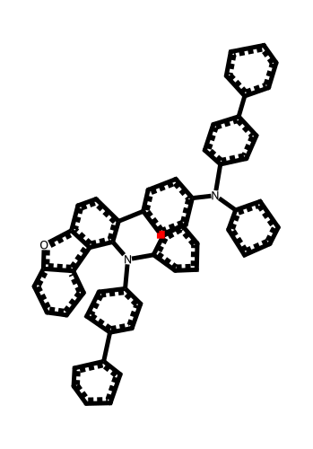 c1ccc(-c2ccc(N(c3ccccc3)c3ccc(-c4ccc5oc6ccccc6c5c4N(c4ccccc4)c4ccc(-c5ccccc5)cc4)cc3)cc2)cc1